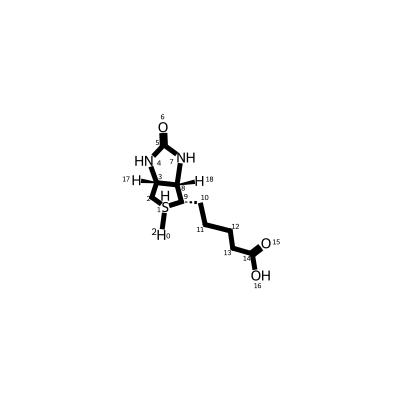 [2H][SH]1C[C@@H]2NC(=O)N[C@@H]2[C@@H]1CCCCC(=O)O